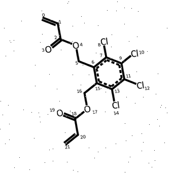 C=CC(=O)OCc1c(Cl)c(Cl)c(Cl)c(Cl)c1COC(=O)C=C